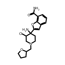 NC(=O)c1cccc2cc(C3(N)CCN(CC4CCCO4)CC3Cl)oc12